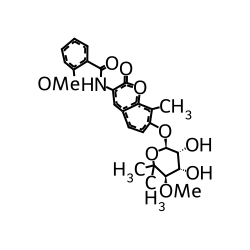 COc1ccccc1C(=O)Nc1cc2ccc(O[C@@H]3OC(C)(C)[C@H](OC)[C@@H](O)[C@H]3O)c(C)c2oc1=O